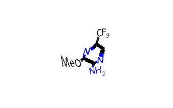 COc1nc(C(F)(F)F)cnc1N